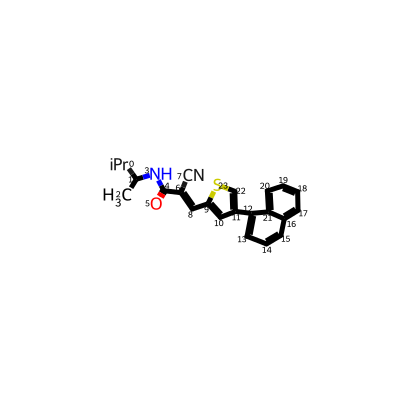 CC(C)C(C)NC(=O)/C(C#N)=C/c1cc(-c2cccc3ccccc23)cs1